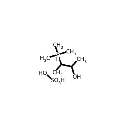 CC(O)C(C)[PH](C)(C)C.O=S(=O)(O)O